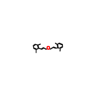 Cc1cccc(C)c1C=CCOCC=Cc1c(C)cccc1C